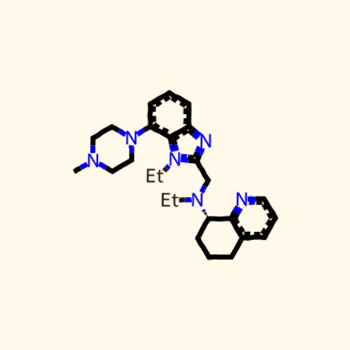 CCN(Cc1nc2cccc(N3CCN(C)CC3)c2n1CC)[C@H]1CCCc2cccnc21